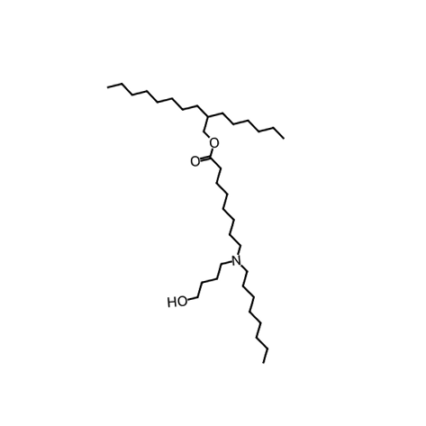 CCCCCCCCC(CCCCCC)COC(=O)CCCCCCCN(CCCCO)CCCCCCCC